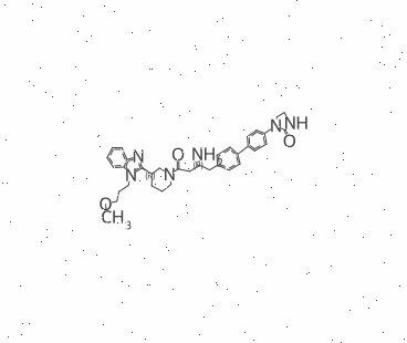 COCCCn1c([C@@H]2CCCN(C(=O)C[C@H](N)Cc3ccc(-c4ccc(N5CCNC5=O)cc4)cc3)C2)nc2ccccc21